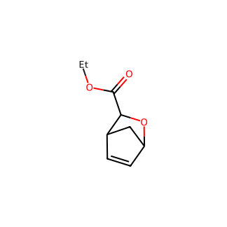 CCOC(=O)C1OC2C=CC1C2